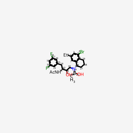 CCc1cc(Br)c2c(c1)[C@@H](N(C[C@@H](O)[C@H](Cc1cc(F)cc(F)c1)NC(C)=O)B(C)O)CCC2